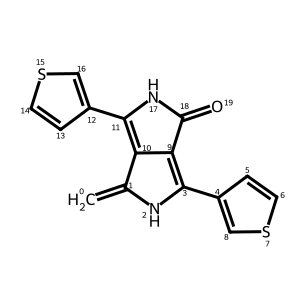 C=c1[nH]c(-c2ccsc2)c2c1=C(c1ccsc1)NC2=O